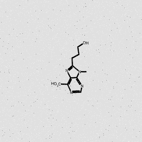 Cn1c(CCCO)nc2c(C(=O)O)ncnc21